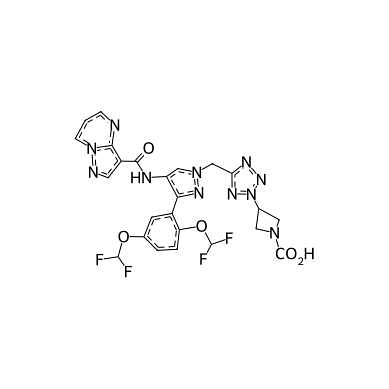 O=C(Nc1cn(Cc2nnn(C3CN(C(=O)O)C3)n2)nc1-c1cc(OC(F)F)ccc1OC(F)F)c1cnn2cccnc12